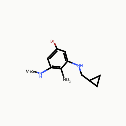 CSNc1cc(Br)cc(NCC2CC2)c1[N+](=O)[O-]